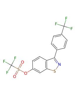 O=S(=O)(Oc1ccc2c(-c3ccc(C(F)(F)F)cc3)nsc2c1)C(F)(F)F